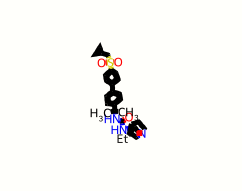 CCC1(NC(=O)NC(C)(C)c2ccc(-c3ccc(S(=O)(=O)CC4CC4)cc3)cc2)CN2CCC1CC2